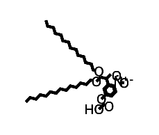 CCCCCCCCCCCCCCOC(OCCCCCCCCCCCCCC)C(C)c1cc(OC(=O)O)ccc1[N+](=O)[O-]